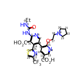 CCNC(=O)Nc1ncc(-c2cc(C(=O)O)cnc2OCCN2CCCC2)c(-c2nc(C(F)(F)F)cs2)c1C(=O)O